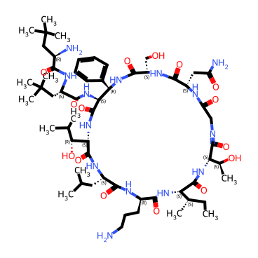 CC[C@H](C)[C@@H]1NC(=O)[C@@H](CCCN)NC(=O)[C@H](CC(C)C)NC(=O)[C@H]([C@H](O)C(C)C)NC(=O)[C@@H](NC(=O)[C@H](CC(C)(C)C)NC(=O)[C@H](N)CC(C)(C)C)[C@@H](c2ccccc2)NC(=O)[C@H](CO)NC(=O)[C@H](CC(N)=O)NC(=O)CNC(=O)[C@H]([C@H](C)O)NC1=O